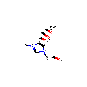 CCn1cc[n+](C)c1.[C]=O.[C]=O.[C]=O.[C]=O.[Co+2]